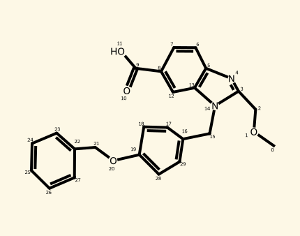 COCc1nc2ccc(C(=O)O)cc2n1Cc1ccc(OCc2ccccc2)cc1